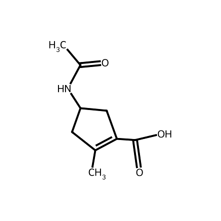 CC(=O)NC1CC(C)=C(C(=O)O)C1